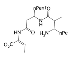 CC=C(NC(=O)CC(CCCCC)NC(=O)C(C)C(N)CCCCC)C(=O)O